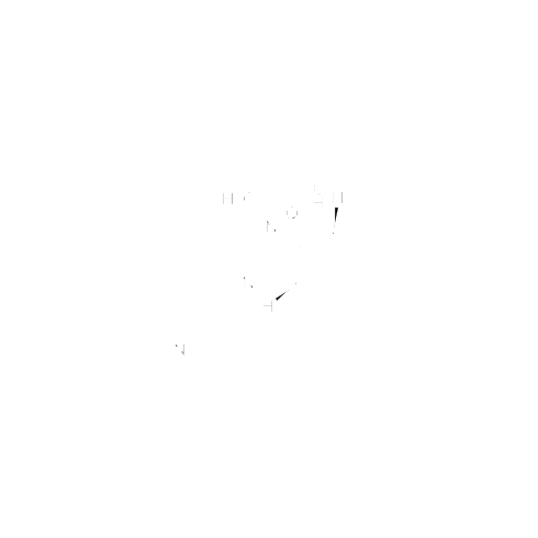 COC1(c2cccc(C#N)n2)[C@@H]2CCC[C@H]1CN(C)C2